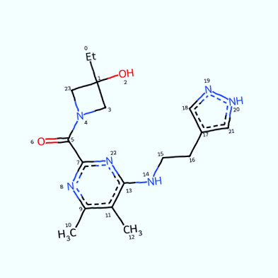 CCC1(O)CN(C(=O)c2nc(C)c(C)c(NCCc3cn[nH]c3)n2)C1